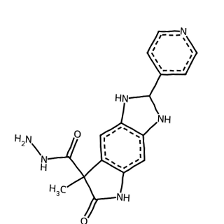 CC1(C(=O)NN)C(=O)Nc2cc3c(cc21)NC(c1ccncc1)N3